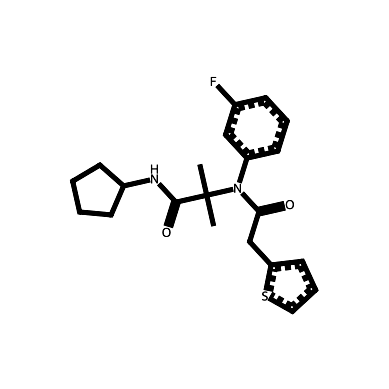 CC(C)(C(=O)NC1CCCC1)N(C(=O)Cc1cccs1)c1cccc(F)c1